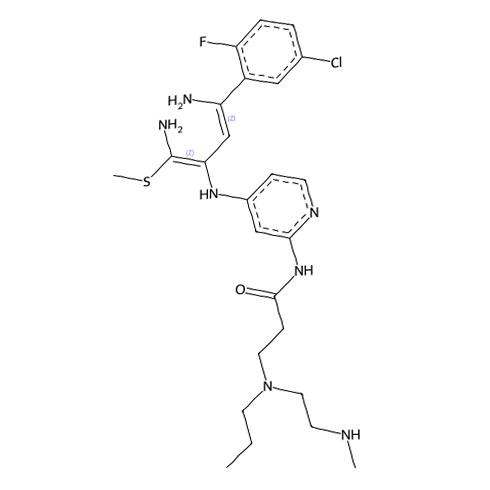 CCCN(CCNC)CCC(=O)Nc1cc(NC(/C=C(\N)c2cc(Cl)ccc2F)=C(/N)SC)ccn1